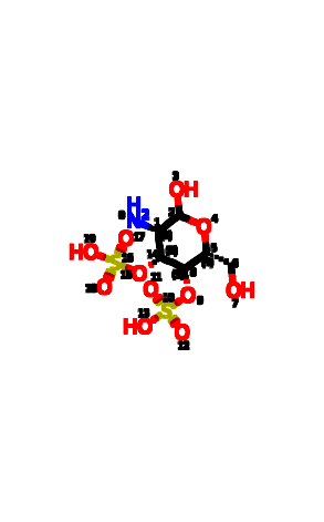 N[C@H]1C(O)O[C@H](CO)[C@H](OS(=O)(=O)O)[C@@H]1OS(=O)(=O)O